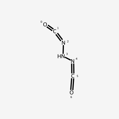 O=C=NNN=C=O